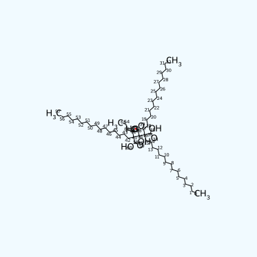 CCCCCCCCCCCCCCCCC(CCCCCCCCCCCCCCCC)(C(=O)O)C(O)(C(=O)O)C(CCCCCCCCCCCCCCCC)(C(=O)O)C(=O)CCC